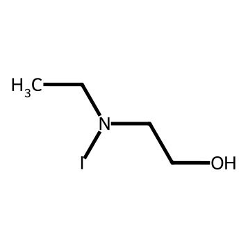 CCN(I)CCO